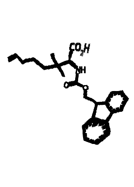 C=CCCCC(C)(C)[C@H](NC(=O)OCC1c2ccccc2-c2ccccc21)C(=O)O